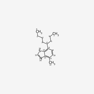 CCCCC(CCC)c1ccc(C)c2ncsc12